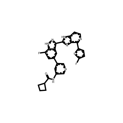 O=C(Nc1cncc(-c2cc(F)c3[nH]nc(-c4nc5c(-c6ccc(F)s6)nccc5[nH]4)c3c2)c1)C1CCC1